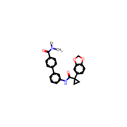 CCN(C)C(=O)c1ccc(-c2cccc(NC(=O)C3(c4ccc5c(c4)OCO5)CC3)c2)cc1